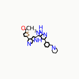 CC(=O)c1ccc(-c2cncc3[nH]c(-c4n[nH]c5ncc(-c6cccc(CN7CCCCC7)c6)cc45)cc23)s1